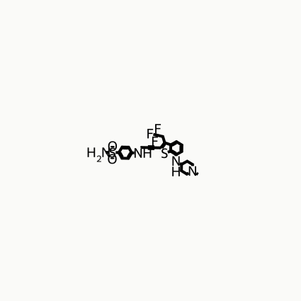 CN1CCC(Nc2cccc3c(CC(F)(F)F)c(C#CCNc4ccc(S(N)(=O)=O)cc4)sc23)CC1